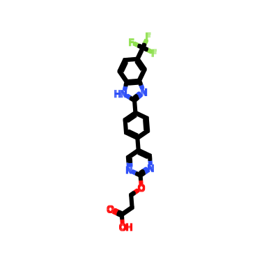 O=C(O)CCOc1ncc(-c2ccc(-c3nc4cc(C(F)(F)F)ccc4[nH]3)cc2)cn1